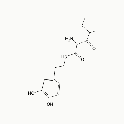 CCC(C)C(=O)C(N)C(=O)NCCc1ccc(O)c(O)c1